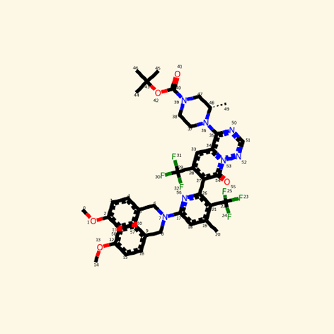 COc1ccc(CN(Cc2ccc(OC)cc2)c2cc(C)c(C(F)(F)F)c(-c3c(C(F)(F)F)cc4c(N5CCN(C(=O)OC(C)(C)C)C[C@@H]5C)ncnn4c3=O)n2)cc1